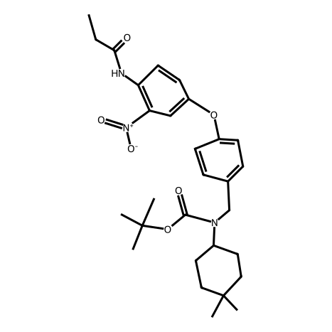 CCC(=O)Nc1ccc(Oc2ccc(CN(C(=O)OC(C)(C)C)C3CCC(C)(C)CC3)cc2)cc1[N+](=O)[O-]